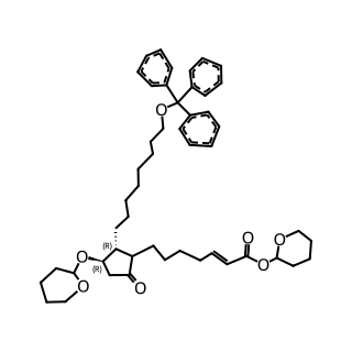 O=C(C=CCCCCC1C(=O)C[C@@H](OC2CCCCO2)[C@@H]1CCCCCCCCOC(c1ccccc1)(c1ccccc1)c1ccccc1)OC1CCCCO1